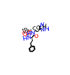 CC(C)(C)OC(=O)N[C@H](CCc1ccccc1)C(=O)N[C@@H](Cc1cnc[nH]1)C(=O)O